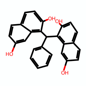 Oc1ccc2ccc(O)c(C(c3ccccc3)c3c(O)ccc4ccc(O)cc34)c2c1